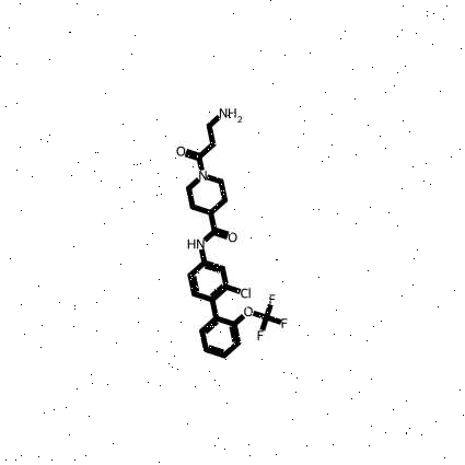 NCCC(=O)N1CCC(C(=O)Nc2ccc(-c3ccccc3OC(F)(F)F)c(Cl)c2)CC1